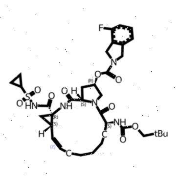 CC(C)(C)COC(=O)N[C@H]1CCCCC/C=C\[C@@H]2C[C@@]2(C(=O)NS(=O)(=O)C2CC2)NC(=O)[C@@H]2C[C@@H](OC(=O)N3Cc4cccc(F)c4C3)CN2C1=O